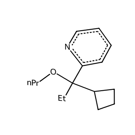 CCCOC(CC)(c1ccccn1)C1CCC1